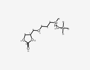 C[SiH](CCCOCC1COC(=O)O1)O[Si](C)(C)C